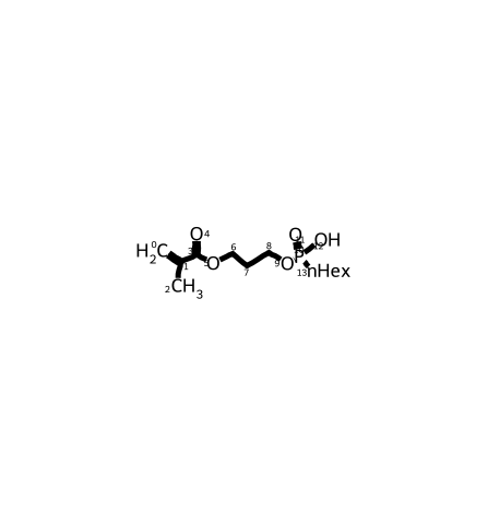 C=C(C)C(=O)OCCCOP(=O)(O)CCCCCC